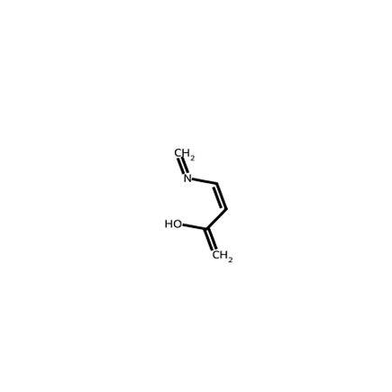 C=N/C=C\C(=C)O